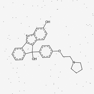 Oc1ccc2c3c(sc2c1)-c1ccccc1C3(O)c1ccc(OCCN2CCCC2)cc1